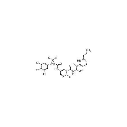 CCCC(=O)Nc1c(F)ccc(NC(=O)c2cc(NC(=O)[C@H]3[C@H](c4cc(Cl)c(Cl)c(Cl)c4)C3(Cl)Cl)ccc2Cl)c1F